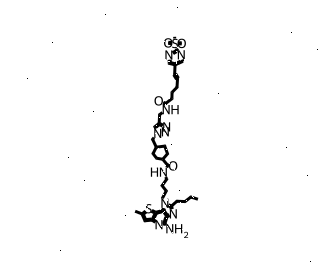 CCCCc1nc2c(N)nc3cc(C)sc3c2n1CCCCNC(=O)C1CCC(Cn2cc(CNC(=O)CCCC#Cc3cnc(S(C)(=O)=O)nc3)nn2)CC1